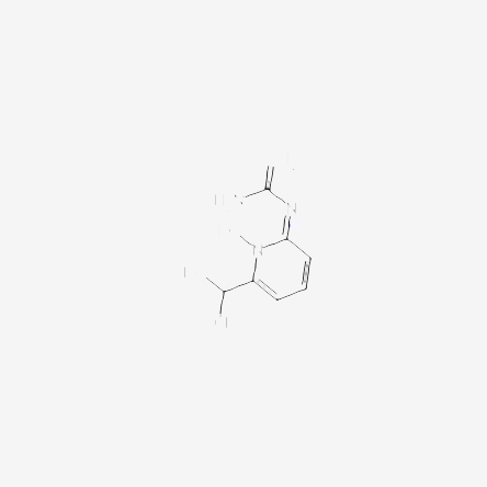 C=C(N)/N=c1/cccc(C(C)C)n1C